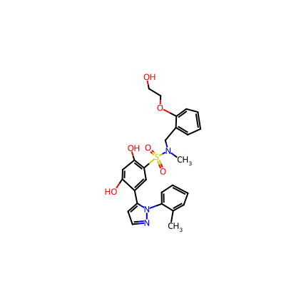 Cc1ccccc1-n1nccc1-c1cc(S(=O)(=O)N(C)Cc2ccccc2OCCO)c(O)cc1O